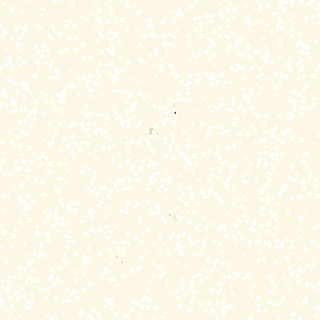 O=C(NC1CCC(Nc2cc(C(F)(F)F)nc3ccccc23)CC1)[C@H]1C[C@@H]1c1ccccc1